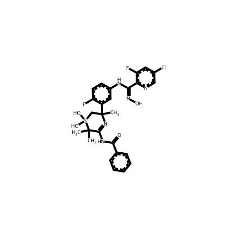 CC1(c2cc(NC(=NO)c3ncc(Cl)cc3F)ccc2F)CS(O)(O)C(C)(C)C(NC(=O)c2ccccc2)=N1